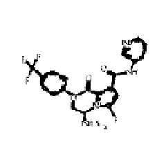 N[C@H]1CN(c2ccc(C(F)(F)F)cc2)C(=O)c2c(C(=O)Nc3cccnc3)cc(F)n21